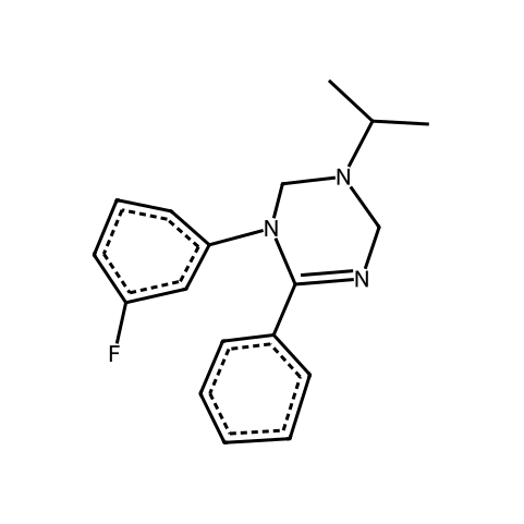 CC(C)N1CN=C(c2ccccc2)N(c2cccc(F)c2)C1